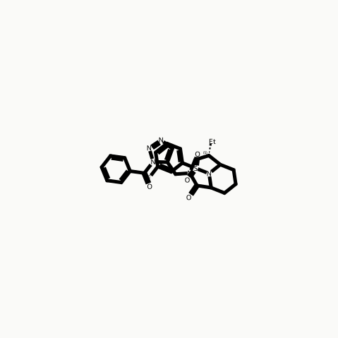 CC[C@H]1CN(Cc2cnnn2C(=O)c2ccccc2)C(=O)C2CCCC1N2S(=O)(=O)c1cccc(F)c1